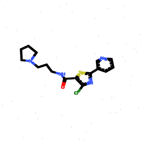 O=C(NCCCN1CCCC1)c1sc(-c2cccnc2)nc1Cl